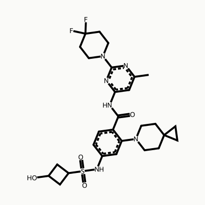 Cc1cc(NC(=O)c2ccc(NS(=O)(=O)C3CC(O)C3)cc2N2CCC3(CC2)CC3)nc(N2CCC(F)(F)CC2)n1